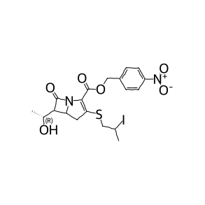 CC(I)CSC1=C(C(=O)OCc2ccc([N+](=O)[O-])cc2)N2C(=O)C([C@@H](C)O)C2C1